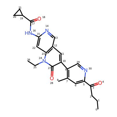 CCCC(=O)c1cc(C)c(-c2cc3cnc(NC(=O)C4CC4)cc3n(CC)c2=O)cn1